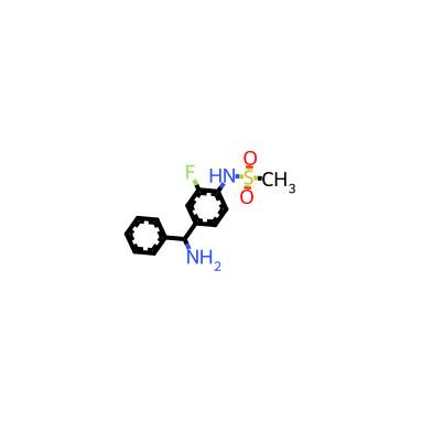 CS(=O)(=O)Nc1ccc(C(N)c2ccccc2)cc1F